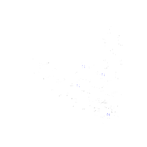 Cc1ccc(-c2ccc3c4ccc(-c5ccc(C)cc5)cc4n(-c4cncc(-n5c6cc(-c7ccc(C)cc7)ccc6c6ccc(-c7ccc(C)cc7)cc65)c4-c4ccc(C#N)cc4)c3c2)cc1